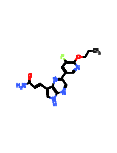 NC(=O)/C=C/c1c[nH]c2ncc(-c3cnc(OCCC(F)(F)F)c(F)c3)nc12